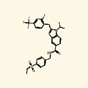 CCS(=O)(=O)c1ccc(CNC(=O)c2ccc3c(c2)nc(Cc2ccc(C(F)(F)F)cc2F)n3C(C)C)cc1